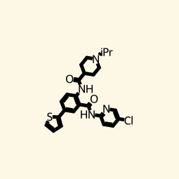 CC(C)N1CCC(C(=O)Nc2ccc(-c3cccs3)cc2C(=O)Nc2ccc(Cl)cn2)CC1